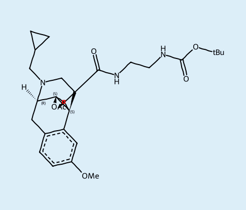 COc1ccc2c(c1)[C@]13CCN(CC4CC4)[C@H](C2)[C@]1(OC(C)=O)CC(C(=O)NCCNC(=O)OC(C)(C)C)C3